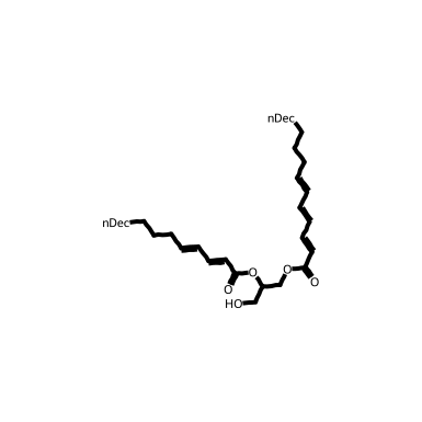 CCCCCCCCCCCCCC=CC=CC=CC(=O)OCC(CO)OC(=O)C=CC=CCCCCCCCCCCCCC